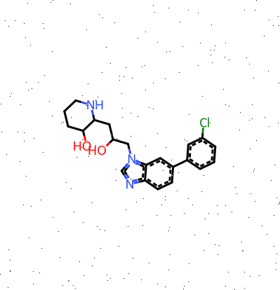 OC(CC1NCCCC1O)Cn1cnc2ccc(-c3cccc(Cl)c3)cc21